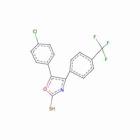 FC(F)(F)c1ccc(-c2nc(S)oc2-c2ccc(Cl)cc2)cc1